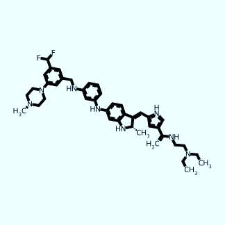 C=C(NCCN(CC)CC)c1c[nH]c(/C=C2/c3ccc(Nc4cccc(NCc5cc(C(F)F)cc(N6CCN(C)CC6)c5)c4)cc3N[C@H]2C)c1